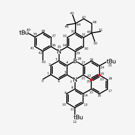 Cc1cc2c3c(c1)N(c1ccc(C(C)(C)C)cc1-c1ccccc1)c1ccc(C(C)(C)C)cc1B3c1cc3c(cc1N2c1ccc(C(C)(C)C)cc1C)C(C)(C)CCC3(C)C